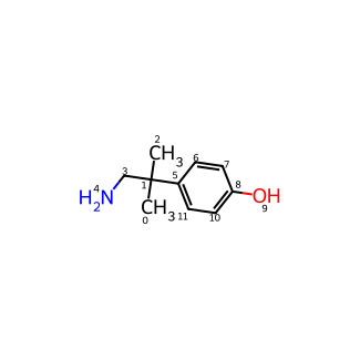 CC(C)(CN)c1ccc(O)cc1